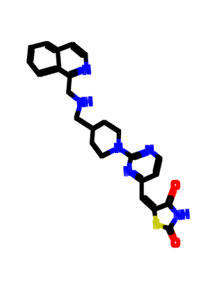 O=C1NC(=O)/C(=C\c2ccnc(N3CCC(CNCc4nccc5ccccc45)CC3)n2)S1